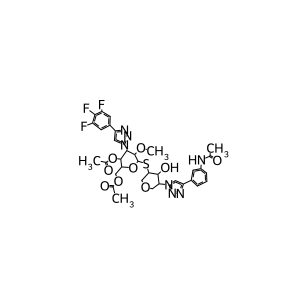 COC1C(SC2COCC(n3cc(-c4cccc(NC(C)=O)c4)nn3)C2O)OC(COC(C)=O)C(OC(C)=O)C1n1cc(-c2cc(F)c(F)c(F)c2)nn1